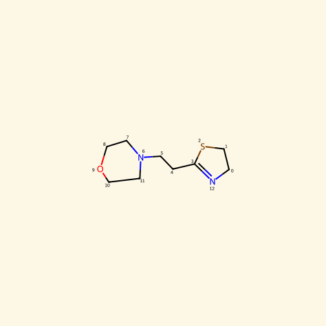 C1CSC(CCN2CCOCC2)=N1